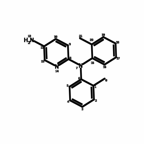 Cc1ccccc1N(c1ccc(N)cn1)c1ccccc1C